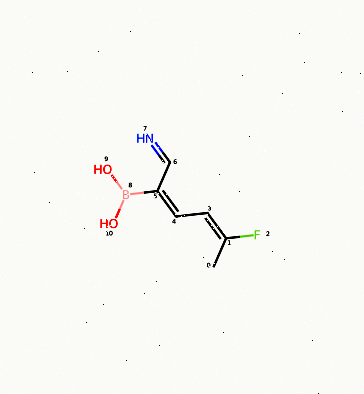 C/C(F)=C\C=C(/C=N)B(O)O